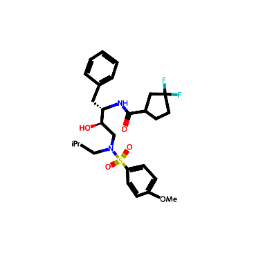 COc1ccc(S(=O)(=O)N(CC(C)C)C[C@@H](O)[C@H](Cc2ccccc2)NC(=O)C2CCC(F)(F)C2)cc1